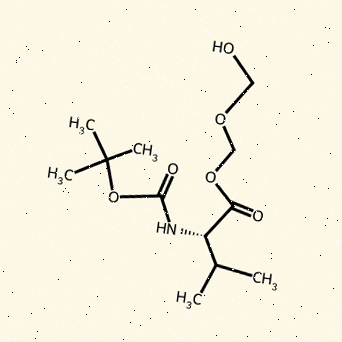 CC(C)[C@H](NC(=O)OC(C)(C)C)C(=O)OCOCO